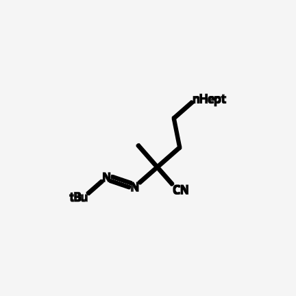 CCCCCCCCCC(C)(C#N)/N=N/C(C)(C)C